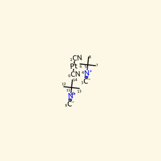 N#[C][Pt][C]#N.[C-]#[N+]C(C)(C)C.[C-]#[N+]C(C)(C)C